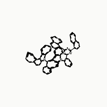 c1ccc(-n2c3ccccc3c3c(-n4c5ccccc5c5c6ccccc6ccc54)c4ccccc4cc32)c(-c2nc(-c3cccc4ccccc34)nc(-c3cccc4ccccc34)n2)c1